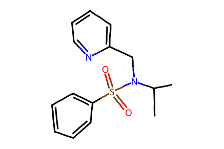 CC(C)N(Cc1ccccn1)S(=O)(=O)c1ccccc1